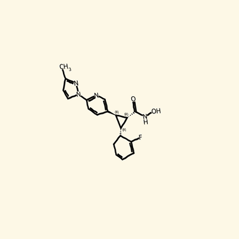 Cc1ccn(-c2ccc([C@H]3[C@H](C(=O)NO)[C@@H]3C3CC=CC=C3F)cn2)n1